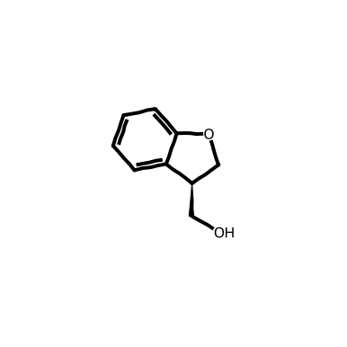 OC[C@@H]1COc2ccccc21